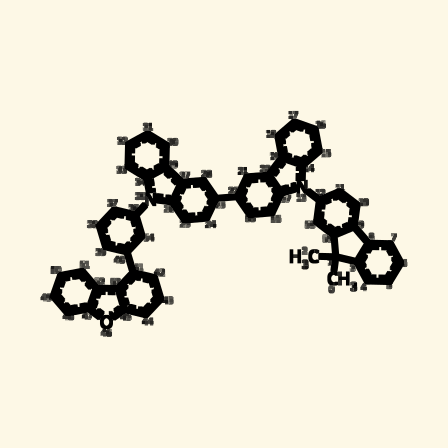 CC1(C)c2ccccc2-c2ccc(-n3c4ccccc4c4cc(-c5ccc6c(c5)c5ccccc5n6-c5cccc(-c6cccc7oc8ccccc8c67)c5)ccc43)cc21